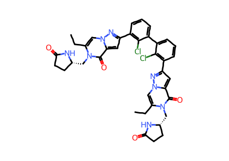 CCc1cn2nc(-c3cccc(-c4cccc(-c5cc6c(=O)n(C[C@@H]7CCC(=O)N7)c(CC)cn6n5)c4Cl)c3Cl)cc2c(=O)n1C[C@@H]1CCC(=O)N1